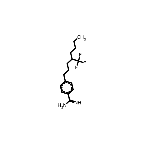 CCCCC(CCCc1ccc(C(=N)N)cc1)C(F)(F)F